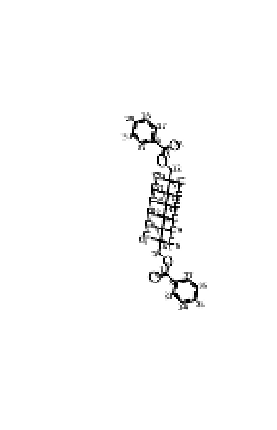 O=C(OCC(F)(F)C(F)(F)C(F)(F)C(F)(F)C(F)(F)C(F)(F)COC(=O)c1ccccc1)c1ccccc1